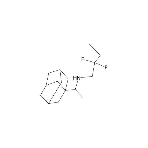 CCC(F)(F)CNC(C)C12CC3CC(CC(C3)C1)C2